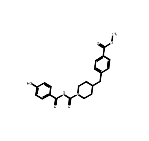 COC(=O)c1ccc(CC2CCN(C(=O)NC(=O)c3ccc(O)cc3)CC2)cc1